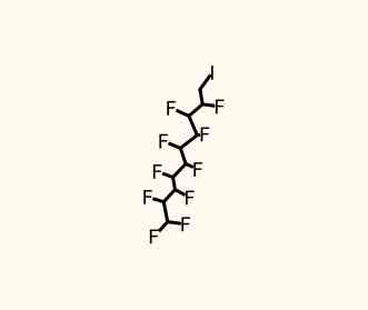 FC(F)C(F)C(F)C(F)C(F)C(F)C(F)C(F)C(F)CI